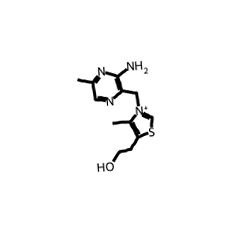 Cc1cnc(C[n+]2csc(CCO)c2C)c(N)n1